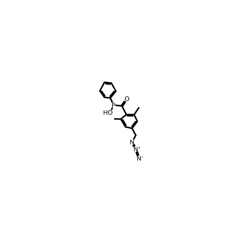 Cc1cc(CN=[N+]=[N-])cc(C)c1C(=O)P(O)c1ccccc1